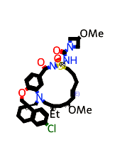 CC[C@@H]1C[C@@H](OC)/C=C/CCC[S@@](=O)(NC(=O)N2CC(OC)C2)=NC(=O)c2ccc3c(c2)N(C1)C[C@@]1(CCCc2cc(Cl)ccc21)CO3